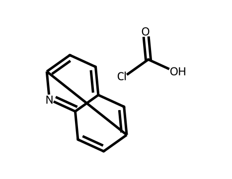 O=C(O)Cl.c1cc2nc3ccc2cc13